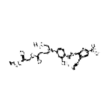 CCN(CCC(=O)OCC(C)=O)c1ccc(/N=N/c2sc([N+](=O)[O-])cc2C#N)c(C)c1